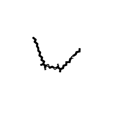 CCCCCCCCCCCCC(C)C(=S)OCCOC(=S)C(C)CCCCCCCCCCCC